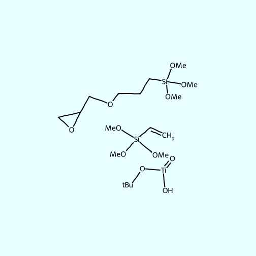 C=C[Si](OC)(OC)OC.CC(C)(C)[O][Ti](=[O])[OH].CO[Si](CCCOCC1CO1)(OC)OC